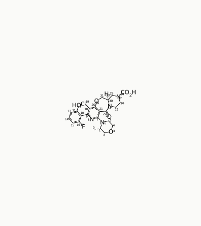 C[C@H]1COCCN1c1nc(-c2c(O)cccc2F)c(Cl)c2c1C(=O)N1CCN(C(=O)O)C[C@@H]1CO2